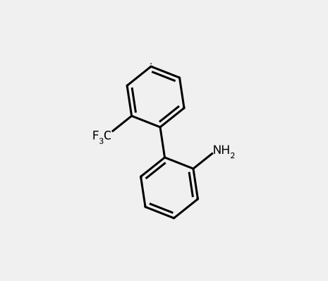 Nc1ccccc1-c1cc[c]cc1C(F)(F)F